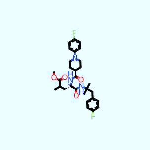 COC(=O)C(C)C[C@H](NC(=O)C1CCN(c2ccc(F)cc2)CC1)C(=O)NC(C)(C)Cc1ccc(F)cc1